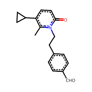 Cc1c(C2CC2)ccc(=O)n1CCc1ccc(C=O)cc1